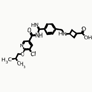 CC(C)COc1ncc(C(=O)NC(=N)c2ccc(CNC3CC(C(=O)O)C3)cc2)cc1Cl